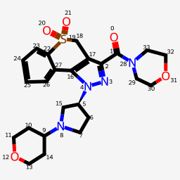 O=C(c1nn([C@H]2CCN(C3CCOCC3)C2)c2c1CS(=O)(=O)c1ccccc1-2)N1CCOCC1